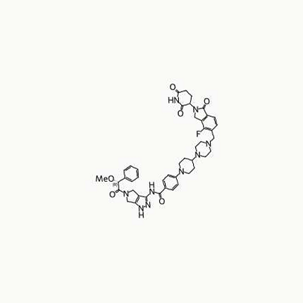 CO[C@@H](C(=O)N1Cc2[nH]nc(NC(=O)c3ccc(N4CCC(N5CCN(Cc6ccc7c(c6F)CN(C6CCC(=O)NC6=O)C7=O)CC5)CC4)cc3)c2C1)c1ccccc1